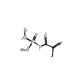 C=C(C)C(=O)OP(=O)(OC)OCC